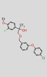 CCOc1ccc(C(O)(COCc2cccc(Oc3ccc(Cl)cc3)c2)C(F)(F)F)cc1F